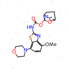 COc1ccc(N2CCOCC2)c2sc(NC(=O)ON3CC4CCC3CO4)nc12